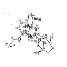 COc1cc(N2C[C@H]3CC[C@@H](C2)[C@@H]3Nc2nc3c(OCC(F)(F)F)ccc(C(F)(F)F)n3n2)ncn1